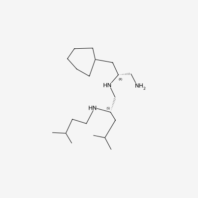 CC(C)CCN[C@H](CN[C@@H](CN)CC1CCCCC1)CC(C)C